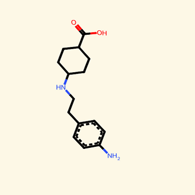 Nc1ccc(CCNC2CCC(C(=O)O)CC2)cc1